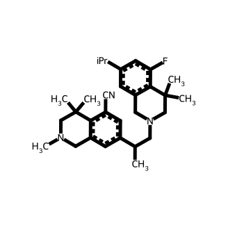 CC(C)c1cc(F)c2c(c1)CN(CC(C)c1cc(C#N)c3c(c1)CN(C)CC3(C)C)CC2(C)C